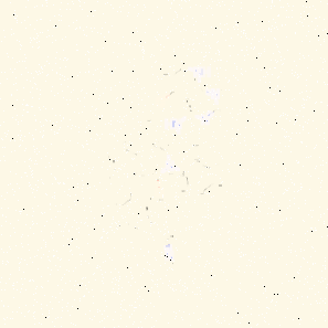 C[C@H](Nc1ncnc2[nH]ccc(=O)c12)c1c(Cl)c2cccc(-c3cccc(CC#N)c3)c2c(=O)n1-c1ccccc1